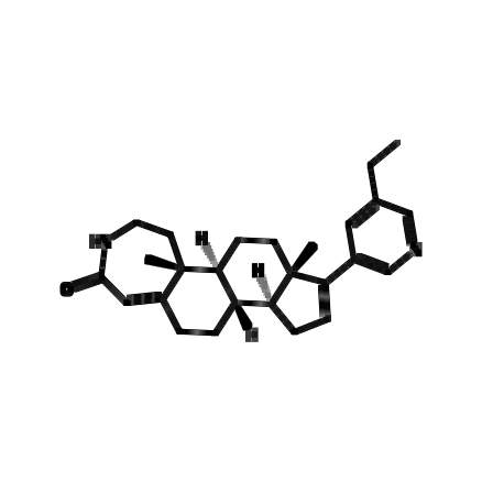 CCc1cncc(C2=CC[C@H]3[C@@H]4CCC5=CC(=O)NCC[C@]5(C)[C@H]4CC[C@]23C)c1